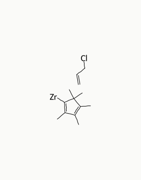 C=CCCl.CC1=C(C)C(C)(C)[C]([Zr])=C1C